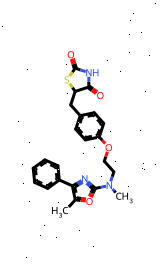 Cc1oc(N(C)CCOc2ccc(CC3SC(=O)NC3=O)cc2)nc1-c1ccccc1